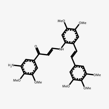 COc1cc(C=Cc2cc(OC)c(OC)c(OC)c2)c(NC=CC(=O)c2cc(N)c(OC)c(OC)c2)cc1OC